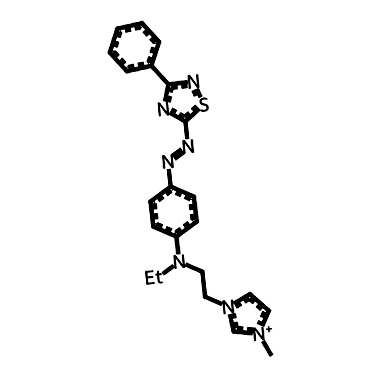 CCN(CCn1cc[n+](C)c1)c1ccc(/N=N/c2nc(-c3ccccc3)ns2)cc1